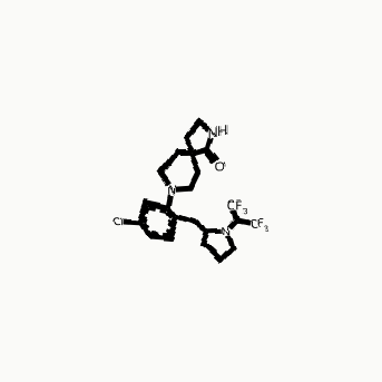 O=C1NCCC12CCN(c1cc(Cl)ccc1CC1CCCN1C(C(F)(F)F)C(F)(F)F)CC2